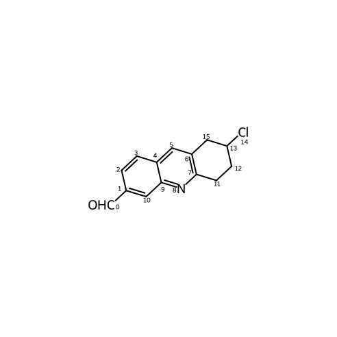 O=Cc1ccc2cc3c(nc2c1)CCC(Cl)C3